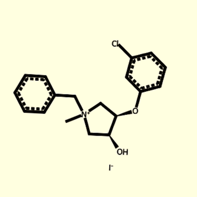 C[N+]1(Cc2ccccc2)C[C@H](O)[C@H](Oc2cccc(Cl)c2)C1.[I-]